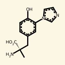 C[C@@](N)(Cc1ccc(O)c(-n2ccnc2)c1)C(=O)O